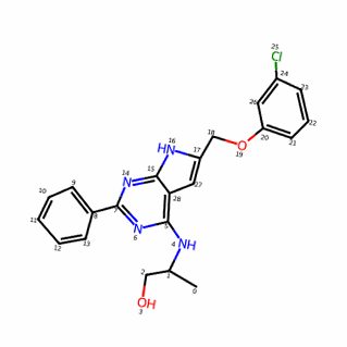 CC(CO)Nc1nc(-c2ccccc2)nc2[nH]c(COc3cccc(Cl)c3)cc12